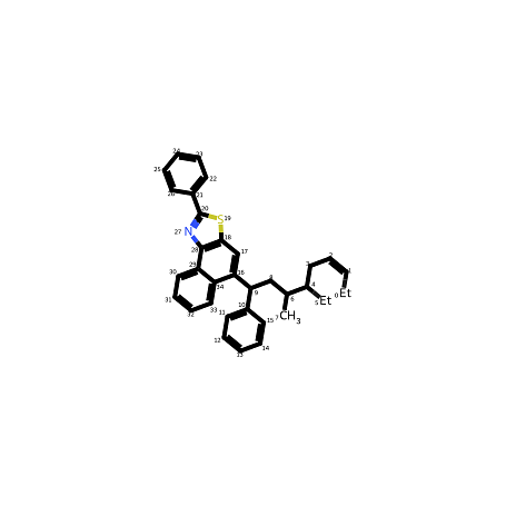 CC/C=C\CC(CC)C(C)CC(c1ccccc1)c1cc2sc(-c3ccccc3)nc2c2ccccc12